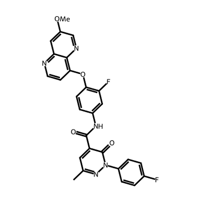 COc1cnc2c(Oc3ccc(NC(=O)c4cc(C)nn(-c5ccc(F)cc5)c4=O)cc3F)ccnc2c1